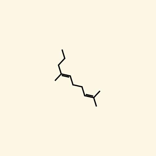 CCCC(C)=CCCC=C(C)C